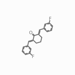 O=C1/C(=C/c2cccc(F)c2)CCC/C1=C\c1cccc(F)c1